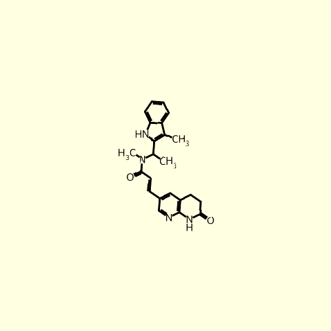 Cc1c(C(C)N(C)C(=O)C=Cc2cnc3c(c2)CCC(=O)N3)[nH]c2ccccc12